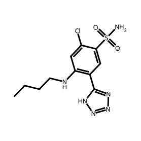 CCCCNc1cc(Cl)c(S(N)(=O)=O)cc1-c1nnn[nH]1